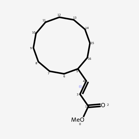 COC(=O)/C=C/C1CCCCCCCCCCC1